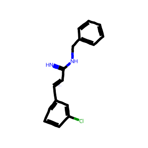 N=C(/C=C/c1cccc(Cl)c1)NCc1ccccc1